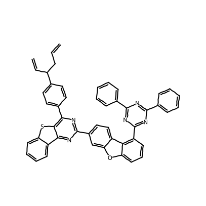 C=CCC(C=C)c1ccc(-c2nc(-c3ccc4c(c3)oc3cccc(-c5nc(-c6ccccc6)nc(-c6ccccc6)n5)c34)nc3c2sc2ccccc23)cc1